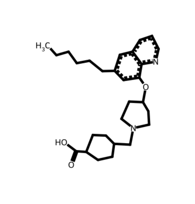 CCCCCCc1cc(OC2CCN(CC3CCC(C(=O)O)CC3)CC2)c2ncccc2c1